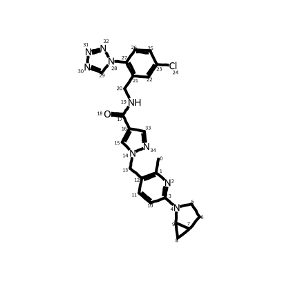 Cc1nc(N2CCC3CC32)ccc1Cn1cc(C(=O)NCc2cc(Cl)ccc2-n2cnnn2)cn1